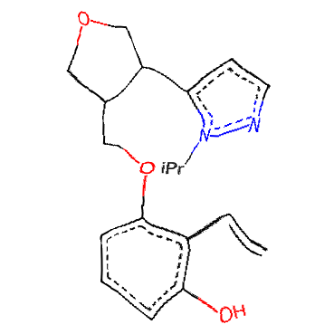 C=Cc1c(O)cccc1OCC1COCC1c1ccnn1C(C)C